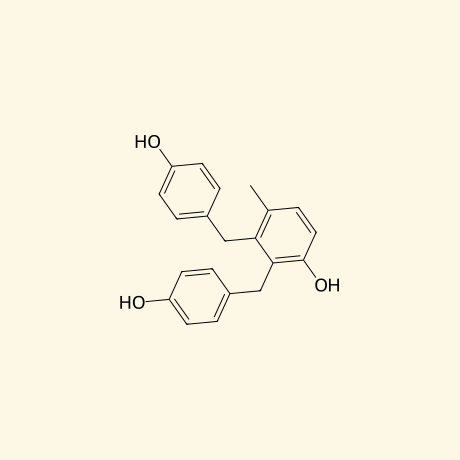 Cc1ccc(O)c(Cc2ccc(O)cc2)c1Cc1ccc(O)cc1